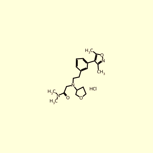 Cc1noc(C)c1-c1cccc(CCN(CC(=O)N(C)C)C2CCOC2)c1.Cl